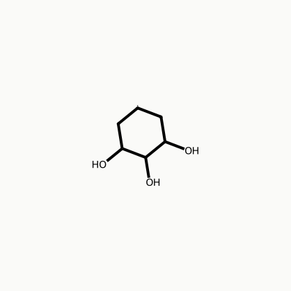 OC1C[CH]CC(O)C1O